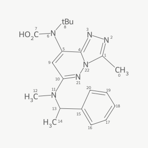 Cc1nnc2c(N(C(=O)O)C(C)(C)C)cc(N(C)C(C)c3ccccc3)nn12